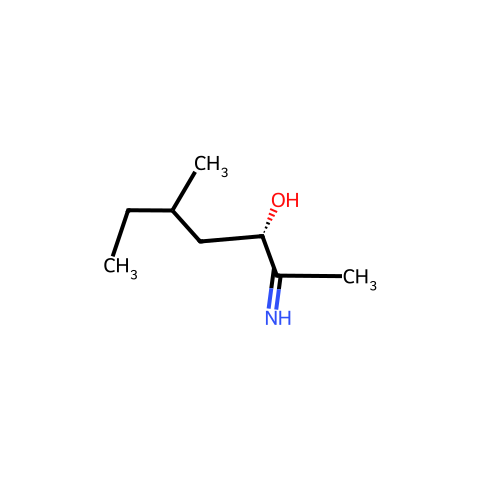 CCC(C)C[C@H](O)C(C)=N